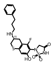 O=C1CN(c2c(O)cc3c(c2F)C[C@H](NCCCc2ccccc2)CS3)S(=O)(=O)N1